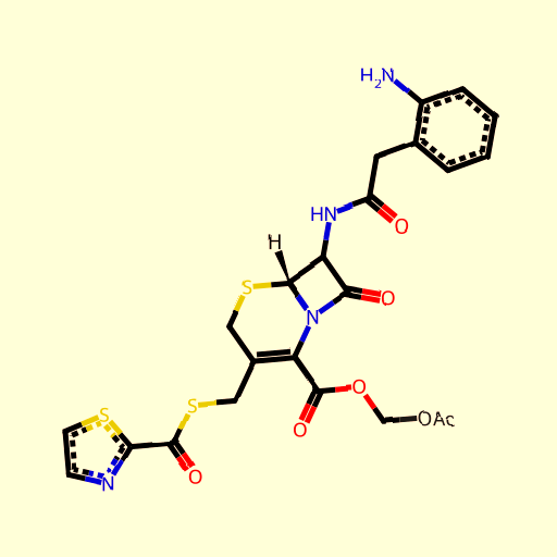 CC(=O)OCOC(=O)C1=C(CSC(=O)c2nccs2)CS[C@@H]2C(NC(=O)Cc3ccccc3N)C(=O)N12